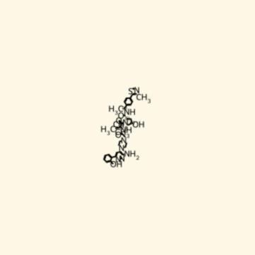 Cc1ncsc1-c1ccc([C@H](C)NC(=O)[C@@H]2C[C@H](O)CN2C(=O)[C@@H](NC(=O)CN2CCN(c3cc(-c4ccccc4O)nnc3N)CC2)C(C)(C)C)cc1